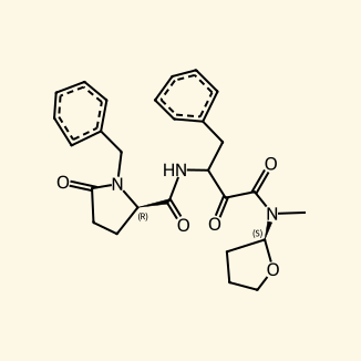 CN(C(=O)C(=O)C(Cc1ccccc1)NC(=O)[C@H]1CCC(=O)N1Cc1ccccc1)[C@@H]1CCCO1